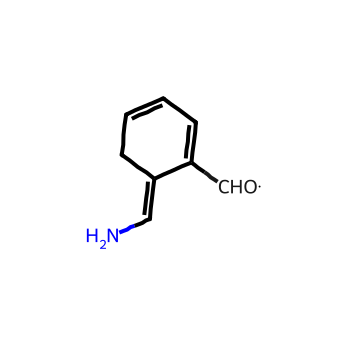 NC=C1CC=CC=C1[C]=O